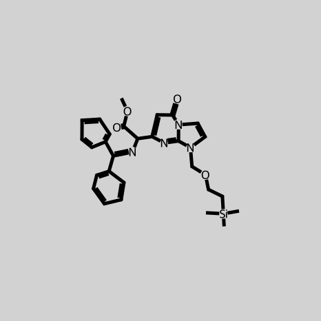 COC(=O)C(N=C(c1ccccc1)c1ccccc1)c1cc(=O)n2ccn(COCC[Si](C)(C)C)c2n1